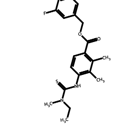 CCN(C)C(=S)Nc1ccc(C(=O)OCc2cccc(F)c2)c(C)c1C